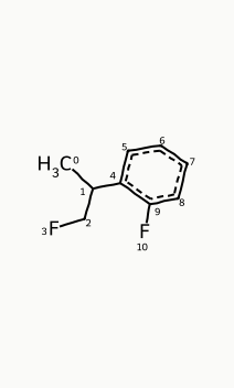 CC(CF)c1ccccc1F